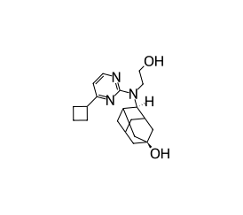 OCCN(c1nccc(C2CCC2)n1)[C@H]1C2CC3CC1C[C@@](O)(C3)C2